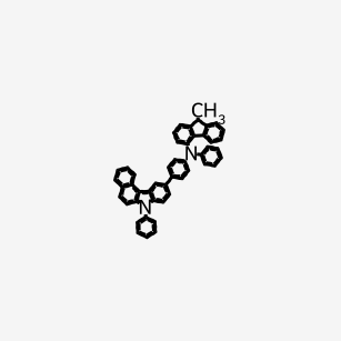 CC1c2ccccc2-c2c1cccc2N(c1ccccc1)c1ccc(-c2ccc3c(c2)c2c4ccccc4ccc2n3-c2ccccc2)cc1